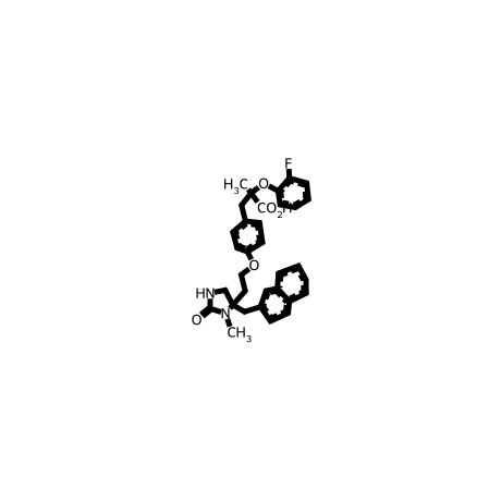 CN1C(=O)NCC1(CCOc1ccc(CC(C)(Oc2ccccc2F)C(=O)O)cc1)Cc1ccc2ccccc2c1